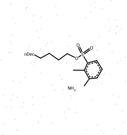 CCCCCCCCCCCCCCOS(=O)(=O)c1cccc(C)c1C.N